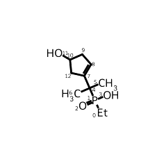 CCP(=O)(O)C(C)(C)C1=CCC(O)C1